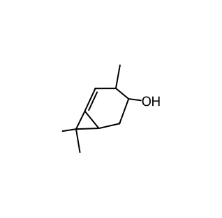 CC1C=C2C(CC1O)C2(C)C